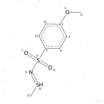 COc1ccc(S(=O)(=O)N=[SH]C)cc1